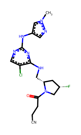 Cn1cc(Nc2ncc(Cl)c(NC[C@@H]3C[C@H](F)CN3C(=O)CCC#N)n2)cn1